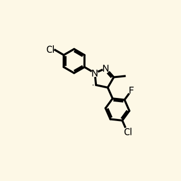 CC1=NN(c2ccc(Cl)cc2)[CH]C1c1ccc(Cl)cc1F